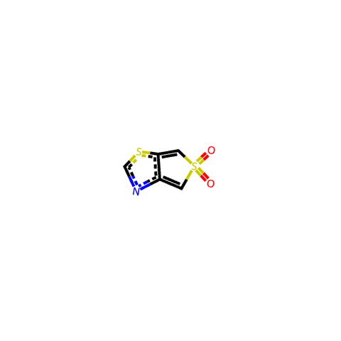 O=S1(=O)C=c2ncsc2=C1